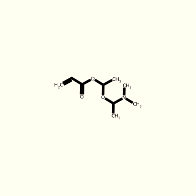 C=CC(=O)OC(C)OC(C)N(C)C